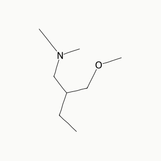 CCC(COC)CN(C)C